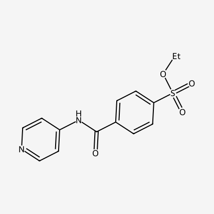 CCOS(=O)(=O)c1ccc(C(=O)Nc2ccncc2)cc1